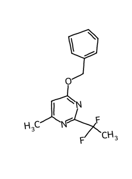 Cc1cc(OCc2ccccc2)nc(C(C)(F)F)n1